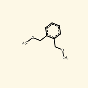 COCc1[c]cccc1COC